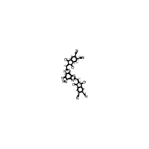 N#Cc1cc2c(cc1C#N)C(=O)C(=Cc1nc3c4nsnc4c4nc(C=C5C(=O)c6cc(C#N)c(C#N)cc6C5=O)sc4c3s1)C2=O